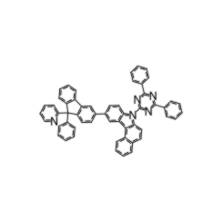 c1ccc(-c2nc(-c3ccccc3)nc(-n3c4ccc(-c5ccc6c(c5)-c5ccccc5C6(c5ccccc5)c5ccccn5)cc4c4c5ccccc5ccc43)n2)cc1